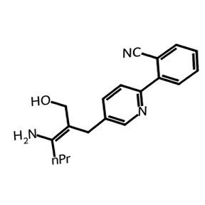 CCC/C(N)=C(/CO)Cc1ccc(-c2ccccc2C#N)nc1